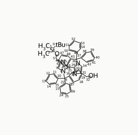 CC(C)(C)[Si](C)(C)OCc1cn(C(c2ccccc2)(c2ccccc2)c2ccccc2)c(-c2nc(CO)cn2C(c2ccccc2)(c2ccccc2)c2ccccc2)n1